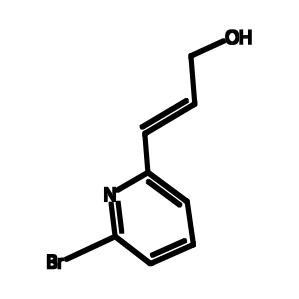 OC/C=C/c1cccc(Br)n1